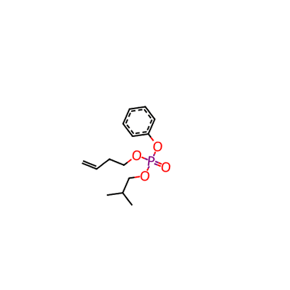 C=CCCOP(=O)(OCC(C)C)Oc1ccccc1